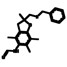 Cc1c(C)c2c(c(C)c1NC=O)CC(C)(CSCc1ccccc1)O2